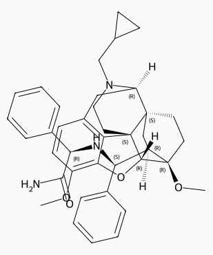 COc1ccc2c3c1O[C@H]1[C@@]4(OC)CC[C@@]5(C[C@@H]4[C@H](N[C@@H](C(N)=O)c4ccccc4)c4ccccc4)[C@@H](C2)N(CC2CC2)CC[C@]315